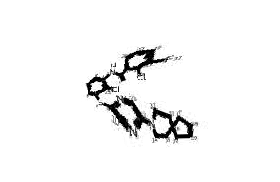 C=C(Nc1cccc(Sc2cnc(N3CCC4(CCCC4)CC3)cn2)c1Cl)c1cccc(F)c1Cl